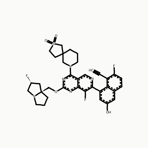 C#Cc1c(F)ccc2cc(O)cc(-c3ncc4c(N5CCCC6(CCS(=O)(=O)C6)C5)nc(OC[C@@]56CCCN5C[C@H](F)C6)nc4c3F)c12